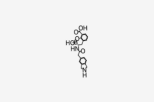 O=C(Cc1ccc2c(c1)CNC2)N[C@H]1Cc2cccc(C(=O)O)c2OB1O